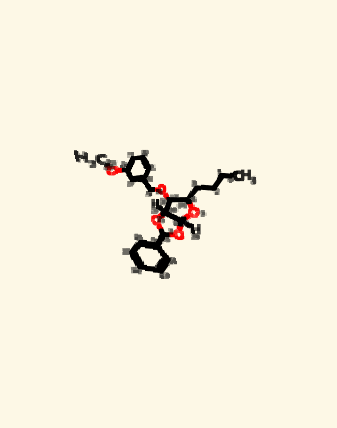 CCCC[C@H]1O[C@@H]2OC(c3ccccc3)O[C@@H]2[C@H]1OCc1cccc(OC)c1